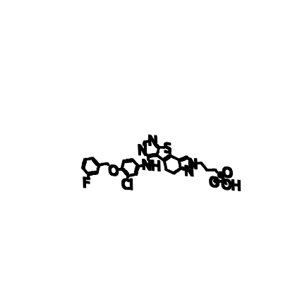 O=S(=O)(O)CCCn1cc2c(n1)CCc1c-2sc2ncnc(Nc3ccc(OCc4cccc(F)c4)c(Cl)c3)c12